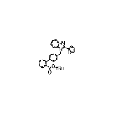 CC(C)(C)OC(=O)c1ccccc1-c1ccc(Cn2c(-c3ccco3)nc3ccccc32)cc1